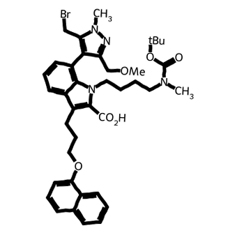 COCc1nn(C)c(CBr)c1-c1cccc2c(CCCOc3cccc4ccccc34)c(C(=O)O)n(CCCCN(C)C(=O)OC(C)(C)C)c12